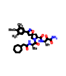 CCC[C@H](NC(=O)[C@@H]1C[C@]2(CC(c3cc(C)c(OC)c(C)c3)=NO2)CN1C(=O)[C@@H](NC(=O)CC1CCCCCC1)C(C)(C)C)C(=O)C(N)=O